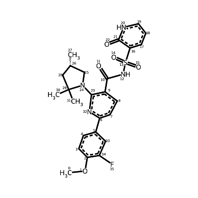 COc1ccc(-c2ccc(C(=O)NS(=O)(=O)c3ccc[nH]c3=O)c(N3C[C@@H](C)CC3(C)C)n2)cc1F